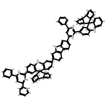 c1ccc(-c2cc(-c3ccc4c(c3)sc3cc(-c5ccc6c(c5)Oc5ccc(-c7nc(-c8ccccc8)cc(-c8ccccn8)n7)cc5C65c6ccccc6-c6ccccc65)ccc34)nc(-c3ccc4c(c3)C3(c5ccccc5O4)c4ccccc4-c4ccccc43)n2)cc1